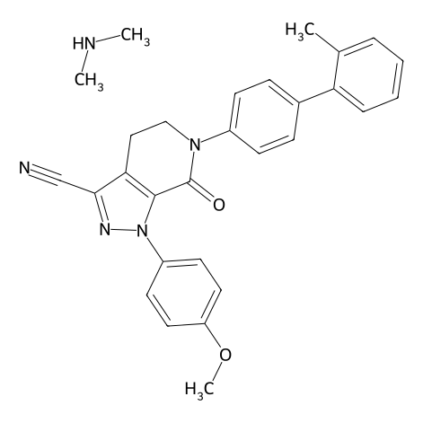 CNC.COc1ccc(-n2nc(C#N)c3c2C(=O)N(c2ccc(-c4ccccc4C)cc2)CC3)cc1